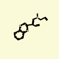 C=CCN(C)/C=C(\C=C)c1cnc2ccccc2n1